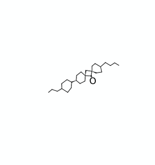 CCCCC1CC[C@]2(CC1)C[C@@]1(CC[C@H](C3CCC(CCC)CC3)CC1)C2=O